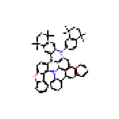 CC1(C)CCC(C)(C)c2cc(N3c4cc5c(cc4B4c6ccc7oc8ccccc8c7c6N(c6ccccc6-c6ccccc6)c6cc(-c7ccccc7)cc3c64)C(C)(C)CCC5(C)C)ccc21